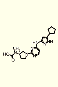 CN(C(=O)O)[C@H]1CCN(c2nccc(Nc3cc(C4CCCC4)[nH]n3)n2)C1